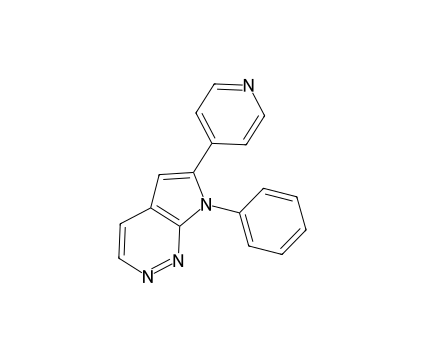 c1ccc(-n2c(-c3ccncc3)cc3ccnnc32)cc1